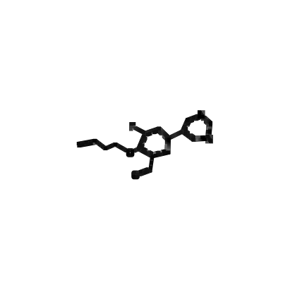 C=CCCOc1c(F)cc(-c2cncnc2)cc1C=O